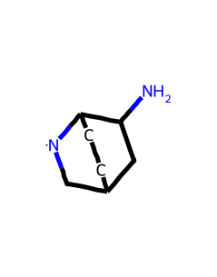 NC1CC2CCC1[N]C2